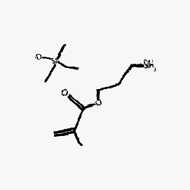 C=C(C)C(=O)OCCC[SiH3].C[Si](C)(C)[O]